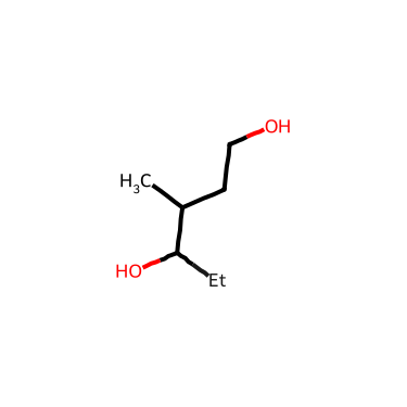 CCC(O)C(C)CCO